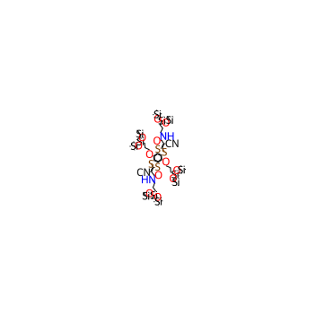 [C-]#[N+]C(C(=O)NCCC[Si](C)(O[Si](C)(C)C)O[Si](C)(C)C)=C1Sc2c(OCCC[Si](C)(O[Si](C)(C)C)O[Si](C)(C)C)c3c(c(OCCC[Si](C)(O[Si](C)(C)C)O[Si](C)(C)C)c2S1)SC(=C(C#N)C(=O)NCCC[Si](C)(O[Si](C)(C)C)O[Si](C)(C)C)S3